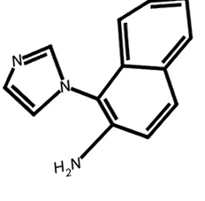 Nc1ccc2ccccc2c1-n1ccnc1